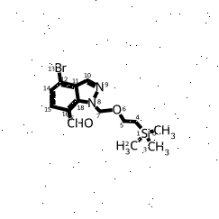 C[Si](C)(C)CCOCn1ncc2c(Br)ccc(C=O)c21